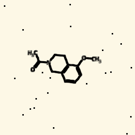 COc1cccc2c1CCN(C(C)=O)C2